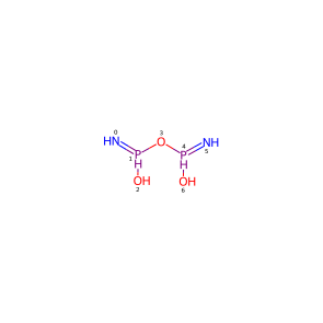 N=[PH](O)O[PH](=N)O